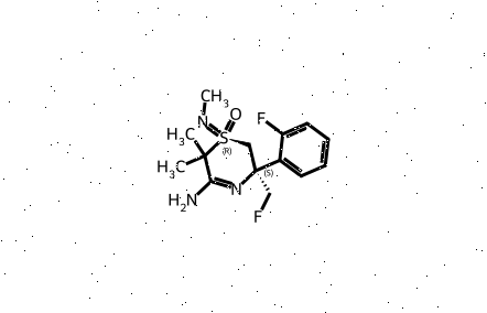 CN=[S@@]1(=O)C[C@@](CF)(c2ccccc2F)N=C(N)C1(C)C